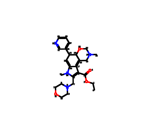 CCOC(=O)c1c(CN2CCOCC2)n(C)c2c1=C1CN(C)COC1C(c1cccnc1)C=2